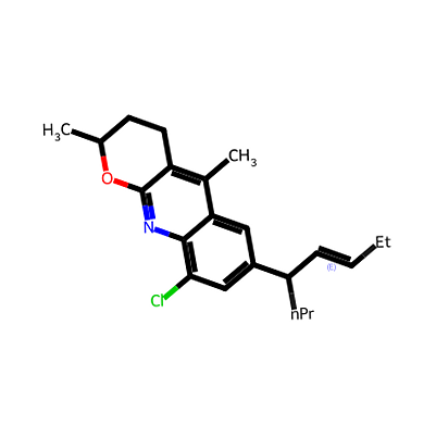 CC/C=C/C(CCC)c1cc(Cl)c2nc3c(c(C)c2c1)CCC(C)O3